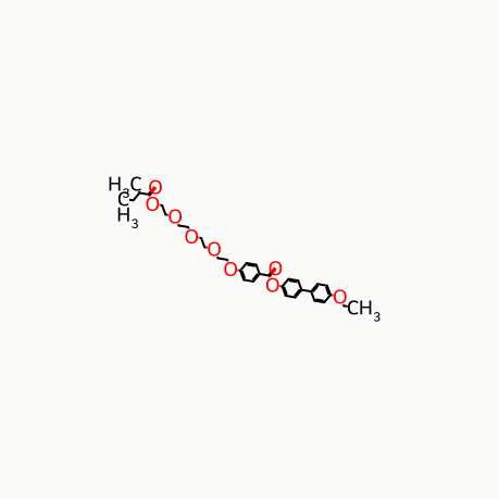 CCOc1ccc(-c2ccc(OC(=O)c3ccc(OCCOCCOCCOCCOC(=O)C(C)CC)cc3)cc2)cc1